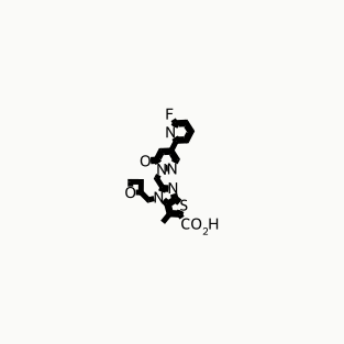 Cc1c(C(=O)O)sc2nc(Cn3ncc(-c4cccc(F)n4)cc3=O)n(CC3CCO3)c12